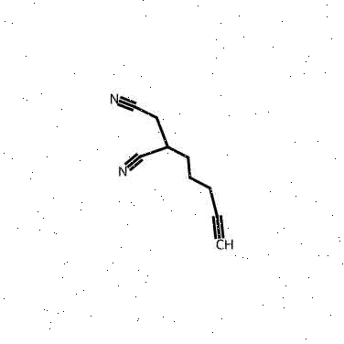 C#CCCCC(C#N)CC#N